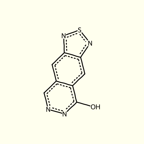 Oc1nncc2cc3nsnc3cc12